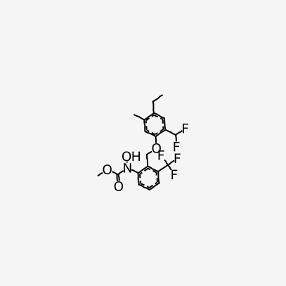 CCc1cc(C(F)F)c(OCc2c(N(O)C(=O)OC)cccc2C(F)(F)F)cc1C